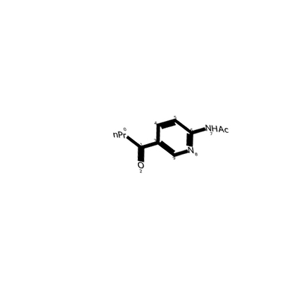 CCCC(=O)c1ccc(NC(C)=O)nc1